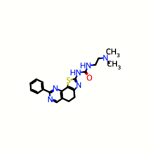 CN(C)CCNC(=O)Nc1nc2c(s1)-c1nc(-c3ccccc3)ncc1CC2